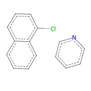 Clc1cccc2ccccc12.c1ccncc1